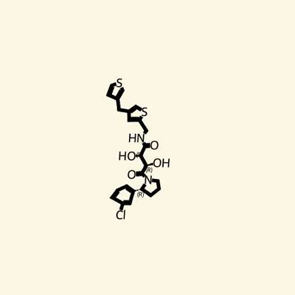 O=C(NCc1cc(Cc2ccsc2)cs1)[C@H](O)[C@@H](O)C(=O)N1CCC[C@@H]1c1cccc(Cl)c1